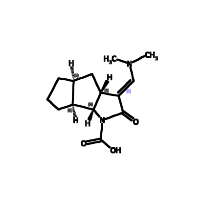 CN(C)/C=C1/C(=O)N(C(=O)O)[C@@H]2[C@H]3CCC[C@H]3C[C@H]12